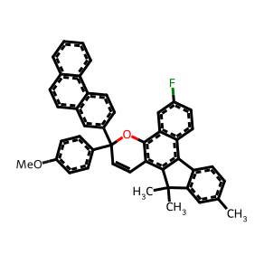 COc1ccc(C2(c3ccc4c(ccc5ccccc54)c3)C=Cc3c4c(c5ccc(F)cc5c3O2)-c2ccc(C)cc2C4(C)C)cc1